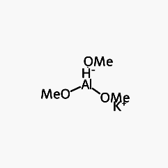 C[O][AlH-]([O]C)[O]C.[K+]